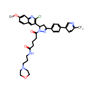 CCOc1ccc2cc(C3CC(c4ccc(-c5ccc(C(F)(F)F)nc5)cc4)=NN3C(=O)CCCC(=O)NCCCN3CCOCC3)c(Cl)nc2c1